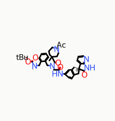 CC(=O)N1CCCC(C)(C(=O)N(CC(=O)Nc2ccc3c(c2)C[C@@]2(C3)C(=O)Nc3ncccc32)Cc2ccccc2CN(C)C(=O)OC(C)(C)C)CC1